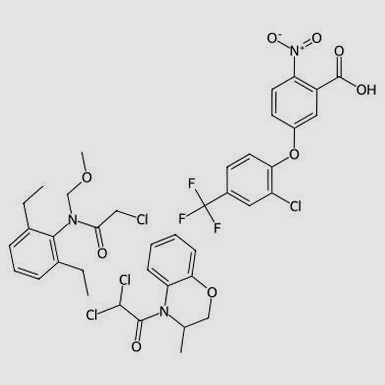 CC1COc2ccccc2N1C(=O)C(Cl)Cl.CCc1cccc(CC)c1N(COC)C(=O)CCl.O=C(O)c1cc(Oc2ccc(C(F)(F)F)cc2Cl)ccc1[N+](=O)[O-]